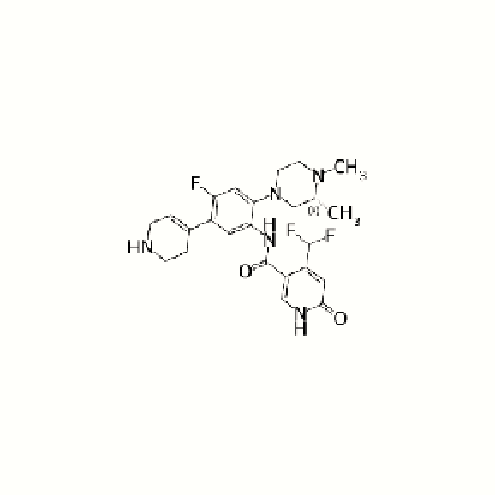 C[C@@H]1CN(c2cc(F)c(C3=CCNCC3)cc2NC(=O)c2c[nH]c(=O)cc2C(F)F)CCN1C